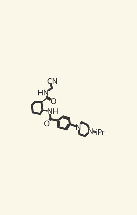 CC(C)N1CCN(c2ccc(C(=O)N[C@H]3CCCC[C@H]3C(=O)NCC#N)cc2)CC1